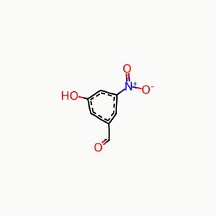 O=Cc1cc(O)cc([N+](=O)[O-])c1